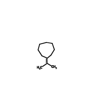 CC(C)=C1CCCCCCC1